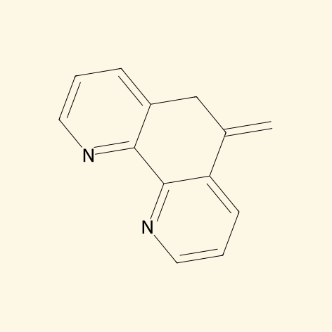 C=C1Cc2cccnc2-c2ncccc21